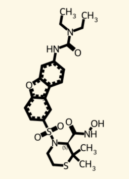 CCN(CC)C(=O)Nc1ccc2c(c1)oc1ccc(S(=O)(=O)N3CCSC(C)(C)[C@@H]3C(=O)NO)cc12